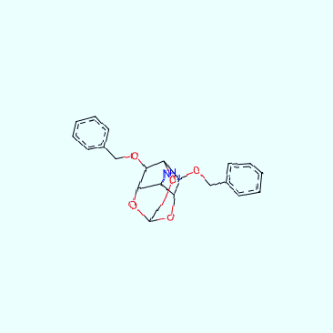 NC1C2OC3OC1C(OCc1ccccc1)C(O3)C2OCc1ccccc1